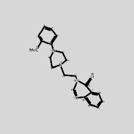 COc1ccccc1N1CCN(CCn2cnc3ccccc3c2=O)CC1